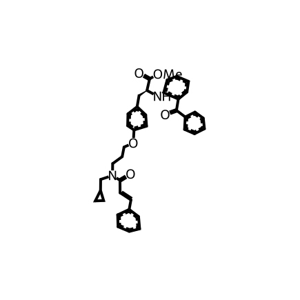 COC(=O)[C@H](Cc1ccc(OCCCN(CC2CC2)C(=O)C=Cc2ccccc2)cc1)Nc1ccccc1C(=O)c1ccccc1